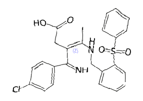 C/C(NCc1ccccc1S(=O)(=O)c1ccccc1)=C(\CC(=O)O)C(=N)c1ccc(Cl)cc1